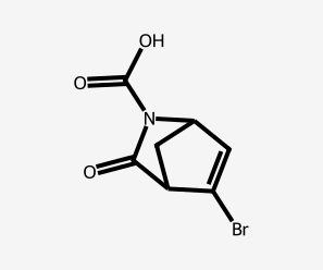 O=C(O)N1C(=O)C2CC1C=C2Br